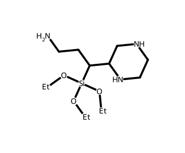 CCO[Si](OCC)(OCC)C(CCN)C1CNCCN1